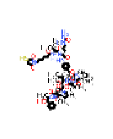 CC[C@H](C)[C@@H]([C@@H](CC(=O)N1CCC[C@H]1[C@H](OC)[C@@H](C)C(=O)N[C@H](C)[C@@H](O)c1ccccc1)OC)N(C)C(=O)[C@@H](NC(=O)[C@H](C(C)C)N(C)C(=O)OCc1ccc(NC(=O)[C@H](CCCNC(N)=O)NC(=O)[C@@H](NC(=O)CCCCCN2C(=O)CC(S)C2=O)C(C)C)cc1)C(C)C